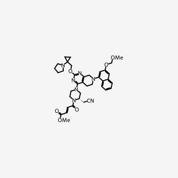 COCOc1cc(N2CCc3c(nc(OCC4(N5CCCC5)CC4)nc3N3CCN(C(=O)/C=C/C(=O)OC)[C@@H](CC#N)C3)C2)c2ccccc2c1